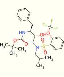 CC(C)CN(C[C@@H](O)[C@H](Cc1ccccc1)NC(=O)OC(C)(C)C)S(=O)(=O)c1ccccc1OC(F)(F)F